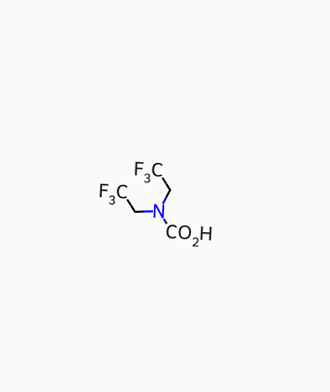 O=C(O)N(CC(F)(F)F)CC(F)(F)F